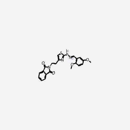 COc1ccc(OC)c(/C=N/Nc2nc(CCN3C(=O)c4ccccc4C3=O)cs2)c1